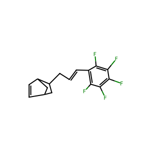 Fc1c(F)c(F)c(C=CCC2CC3C=CC2C3)c(F)c1F